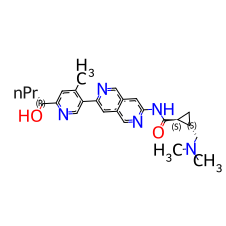 CCC[C@@H](O)c1cc(C)c(-c2cc3cnc(NC(=O)[C@H]4C[C@@H]4CN(C)C)cc3cn2)cn1